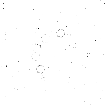 CC(CN1CCN(c2ccc(C(F)(F)F)cc2)CC1)C(=S)N1CCC(Nc2ccc(N)c(C(F)(F)F)c2)CC1